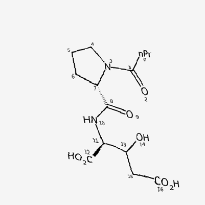 CCCC(=O)N1CCC[C@H]1C(=O)N[C@H](C(=O)O)C(O)CC(=O)O